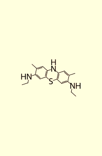 CCNc1cc2c(cc1C)Nc1cc(C)c(NCC)cc1S2